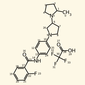 CC1CCCN1C1CCN(c2ccc(NC(=O)c3ccccc3F)cc2)C1.O=C(O)C(F)(F)F